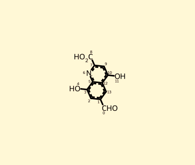 O=Cc1cc(O)c2nc(C(=O)O)cc(O)c2c1